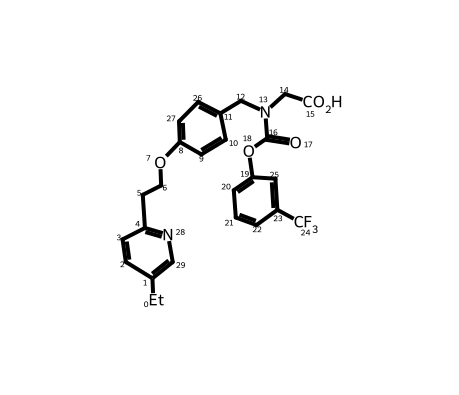 CCc1ccc(CCOc2ccc(CN(CC(=O)O)C(=O)Oc3cccc(C(F)(F)F)c3)cc2)nc1